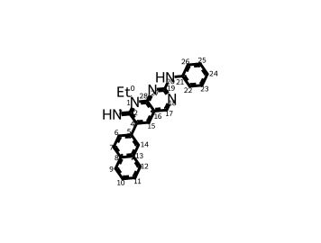 CCn1c(=N)c(-c2ccc3ccccc3c2)cc2cnc(Nc3ccccc3)nc21